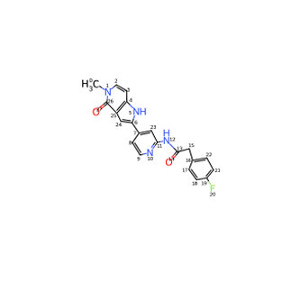 Cn1ccc2[nH]c(-c3ccnc(NC(=O)Cc4ccc(F)cc4)c3)cc2c1=O